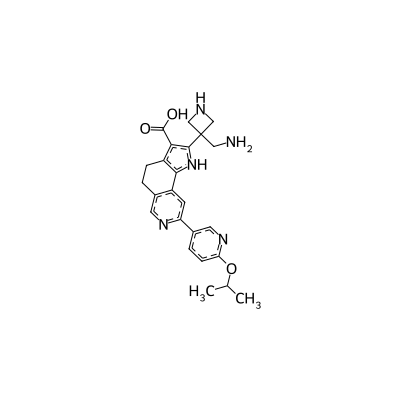 CC(C)Oc1ccc(-c2cc3c(cn2)CCc2c-3[nH]c(C3(CN)CNC3)c2C(=O)O)cn1